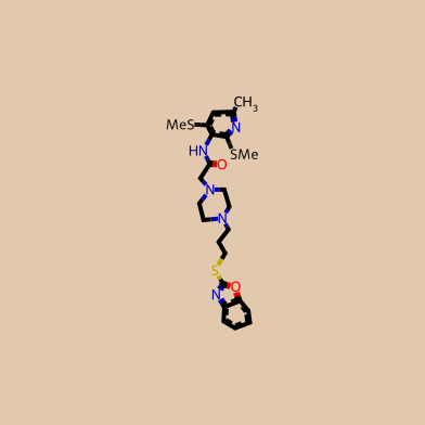 CSc1cc(C)nc(SC)c1NC(=O)CN1CCN(CCCSc2nc3ccccc3o2)CC1